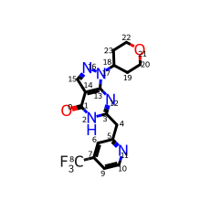 O=c1[nH]c(Cc2cc(C(F)(F)F)ccn2)nc2c1cnn2C1CCOCC1